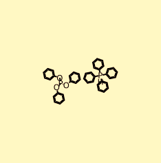 c1ccc(OP(Oc2ccccc2)Oc2ccccc2)cc1.c1ccc([PH](c2ccccc2)(c2ccccc2)c2ccccc2)cc1